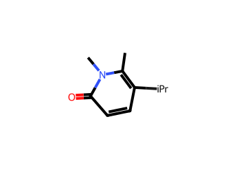 Cc1c(C(C)C)ccc(=O)n1C